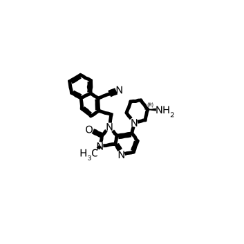 Cn1c(=O)n(Cc2ccc3ccccc3c2C#N)c2c(N3CCC[C@@H](N)C3)ccnc21